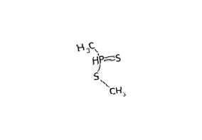 CS[PH](C)=S